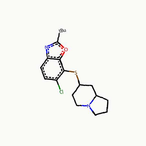 CC(C)(C)c1nc2ccc(Cl)c(SC3CCN4CCCC4C3)c2o1